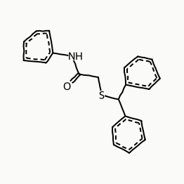 O=C(CSC(c1ccccc1)c1ccccc1)Nc1ccccc1